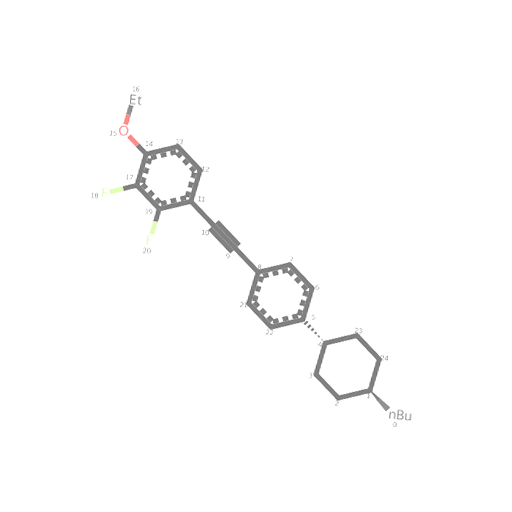 CCCC[C@H]1CC[C@H](c2ccc(C#Cc3ccc(OCC)c(F)c3F)cc2)CC1